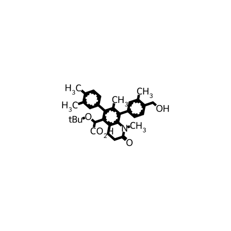 Cc1ccc(-c2c(C)c(-c3ccc(CO)c(C)c3)c3c(c2C(OC(C)(C)C)C(=O)O)CCC(=O)N3C)cc1C